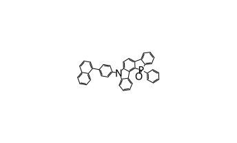 O=P1(c2ccccc2)c2ccccc2-c2ccc3c(c21)c1ccccc1n3-c1ccc(-c2cccc3ccccc23)cc1